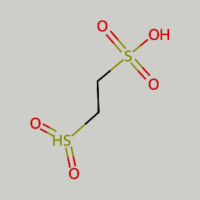 O=[SH](=O)CCS(=O)(=O)O